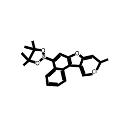 C/C=c1\c(=C/C(C)Cl)oc2cc(B3OC(C)(C)C(C)(C)O3)c3ccccc3c12